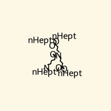 CCCCCCCC(CCCCCCC)OC(=O)CCCN(CCCC(=O)OC(CCCCCCC)CCCCCCC)C(=O)CCCCN(C)C